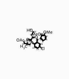 COc1cccc([C@H]2O[C@H](CCO)C(=O)N(CC(C)(C)COC(C)=O)c3ccc(Cl)cc32)c1OC